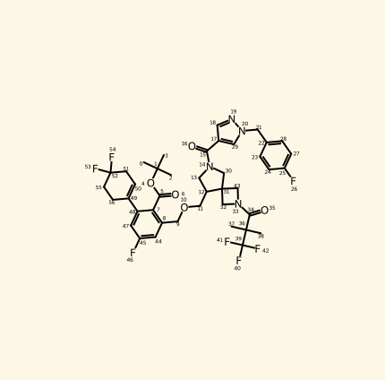 CC(C)(C)OC(=O)c1c(COCC2CN(C(=O)c3cnn(Cc4ccc(F)cc4)c3)CC23CN(C(=O)C(C)(C)C(F)(F)F)C3)cc(F)cc1C1=CCC(F)(F)CC1